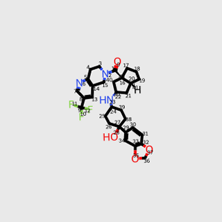 O=C(N1CCc2ncc(C(F)(F)F)cc2C1)[C@@]12CCC[C@@H]1C[C@@H](NC1CCC(O)(c3ccc4c(c3)OCO4)CC1)C2